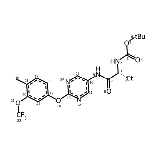 CC[C@@H](NC(=O)OC(C)(C)C)C(=O)Nc1cnc(Oc2ccc(C)c(OC(F)(F)F)c2)nc1